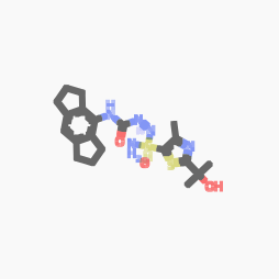 Cc1nc(C(C)(C)O)sc1[SH](N)(=O)/N=N\C(=O)Nc1c2c(cc3c1CCC3)CCC2